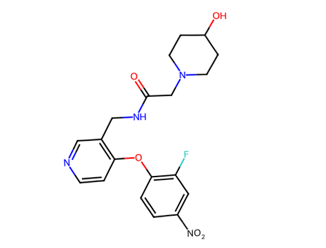 O=C(CN1CCC(O)CC1)NCc1cnccc1Oc1ccc([N+](=O)[O-])cc1F